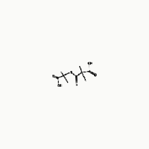 CC(C)(SC(=S)C(C)(C)C(=O)O)C(=O)O